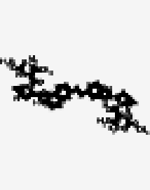 COC(=O)N[C@H](C(=O)N1C(c2nc3c(ccc4cc(CCc5ccc6nc([C@@H]7CC8C[C@H]8N7C(=O)[C@@H](NC(=O)OC)C(C)C)[nH]c6c5)ccc43)[nH]2)C[C@H]2CC21)C(C)C